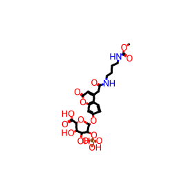 COC(=O)NCCCCNC(=O)Cc1cc(=O)oc2cc(OC3OC(C(=O)O)C(O)C(O)C3OS(=O)(=O)O)ccc12